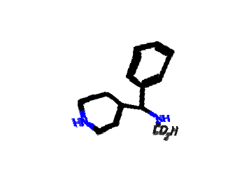 O=C(O)N[C](c1ccccc1)C1CCNCC1